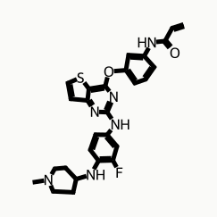 C=CC(=O)Nc1cccc(Oc2nc(Nc3ccc(NC4CCN(C)CC4)c(F)c3)nc3ccsc23)c1